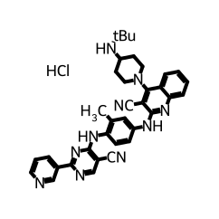 Cc1cc(Nc2nc3ccccc3c(N3CCC(NC(C)(C)C)CC3)c2C#N)ccc1Nc1nc(-c2cccnc2)ncc1C#N.Cl